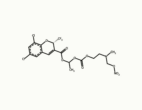 CC(OC(=O)OCCN(C)CO[N+](=O)[O-])OC(=O)C1=Cc2cc(Cl)cc(Cl)c2O[C@@H]1C(F)(F)F